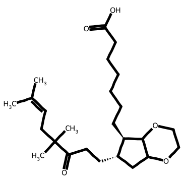 CC(C)=CCC(C)(C)C(=O)CC[C@H]1CC2OCCOC2[C@@H]1CCCCCCC(=O)O